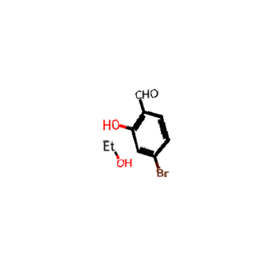 CCO.O=Cc1ccc(Br)cc1O